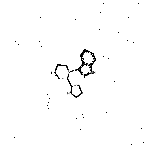 c1ccc2c(N3CCNC[C@H]3[C@@H]3CCCN3)n[nH]c2c1